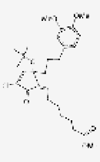 COC(=O)CCCCCC=C1C(=O)C(Cl)=CC1(CCCc1ccc(OC)c(OC)c1)O[Si](C)(C)C